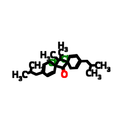 CC(C)CC1=CCC(C(=O)C2(C(C)Cl)C=CC(CC(C)C)=CC2)(C(C)Cl)C=C1